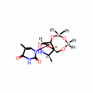 Cc1cn([C@@H]2O[C@]34CO[Si](C(C)C)(C(C)C)O[Si](C(C)C)(C(C)C)OC3[C@@H]2ON[C@@H]4C)c(=O)[nH]c1=O